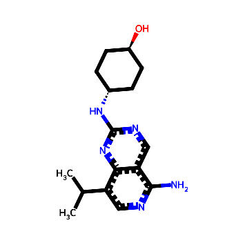 CC(C)c1cnc(N)c2cnc(N[C@H]3CC[C@H](O)CC3)nc12